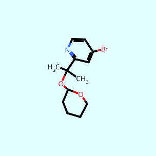 CC(C)(OC1CCCCO1)c1cc(Br)ccn1